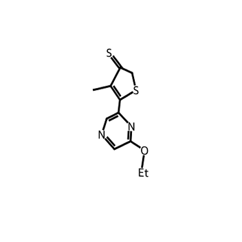 CCOc1cncc(C2=C(C)C(=S)CS2)n1